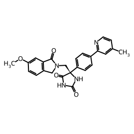 COc1ccc2c(c1)C(=O)N(C[C@@]1(c3ccc(-c4cc(C)ccn4)cc3)NC(=O)NC1=O)C2